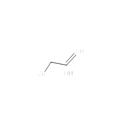 C=C[CH2][Zn].[HH]